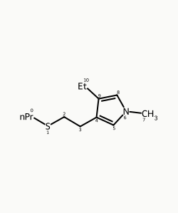 CCCSCCc1cn(C)cc1CC